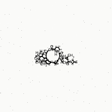 C=C/C(=C(\N=C/C)[C@H](C)OC)c1c2c3cc(ccc3n1CC)-c1csc(n1)[C@@H](OCC)[C@H](NC(=O)[C@@H]1[C@@H](C)[C@H]1C(=O)N1CC(F)C1)C(=O)N1CCC[C@H](N1)C(=O)OCC(C)(C)C2